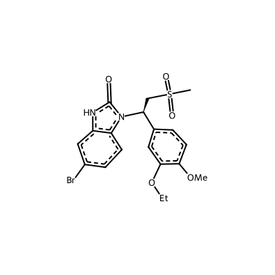 CCOc1cc([C@H](CS(C)(=O)=O)n2c(=O)[nH]c3cc(Br)ccc32)ccc1OC